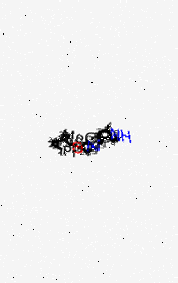 COc1cc(C)c2[nH]ccc2c1CN1CCC(OCCC2CCC2C2CCC2C(C)C)CC1